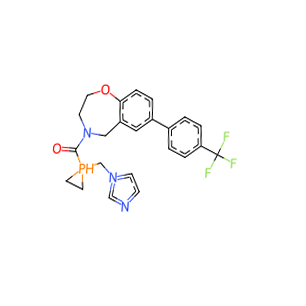 O=C(N1CCOc2ccc(-c3ccc(C(F)(F)F)cc3)cc2C1)[PH]1(Cn2ccnc2)CC1